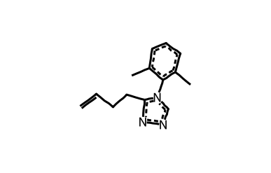 C=CCCc1nncn1-c1c(C)cccc1C